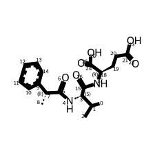 CC(C)[C@H](NC(=O)[C@H](C)c1ccccc1)C(=O)N[C@H](CCC(=O)O)C(=O)O